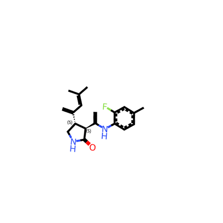 C=C(Nc1ccc(C)cc1F)[C@H]1C(=O)NC[C@@H]1C(=C)C=C(C)C